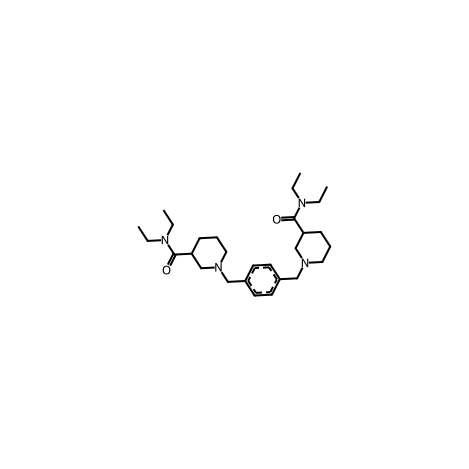 CCN(CC)C(=O)C1CCCN(Cc2ccc(CN3CCCC(C(=O)N(CC)CC)C3)cc2)C1